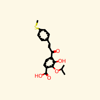 CSc1ccc(/C=C/C(=O)c2ccc(C(=O)O)c(OC(C)C)c2O)cc1